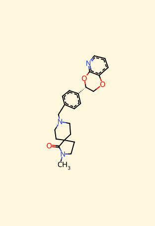 CN1CCC2(CCN(Cc3ccc([C@H]4COc5cccnc5O4)cc3)CC2)C1=O